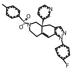 Cc1ccc(S(=O)(=O)N2CCC3=Cc4c(cnn4-c4ccc(F)cc4)C[C@@]3(c3[c]nccc3)C2)cc1